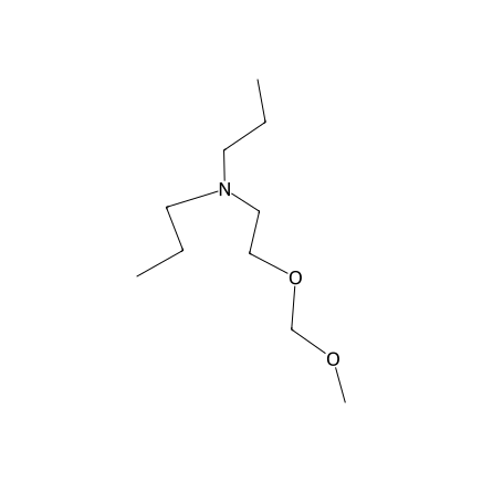 CCCN(CCC)CCOCOC